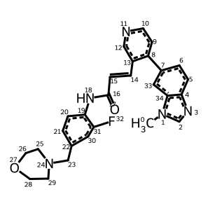 Cn1cnc2ccc(-c3ccncc3/C=C/C(=O)Nc3ccc(CN4CCOCC4)cc3F)cc21